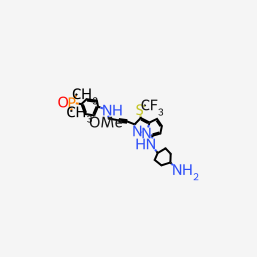 COc1cc(P(C)(C)=O)ccc1NCC#Cc1nn2c(NC3CCC(N)CC3)cccc2c1SC(F)(F)F